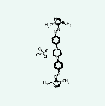 Cn1nc[n+](C)c1/N=N/c1ccc(N2CCN(c3ccc(/N=N/c4n(C)nc[n+]4C)cc3)CC2)cc1.[Cl][Zn-2]([Cl])([Cl])[Cl]